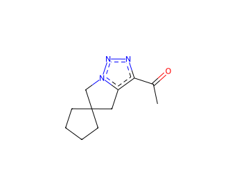 CC(=O)c1nnn2c1CC1(CCCC1)C2